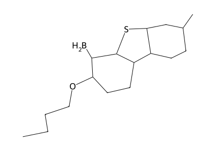 BC1C(OCCCC)CCC2C3CCC(C)CC3SC12